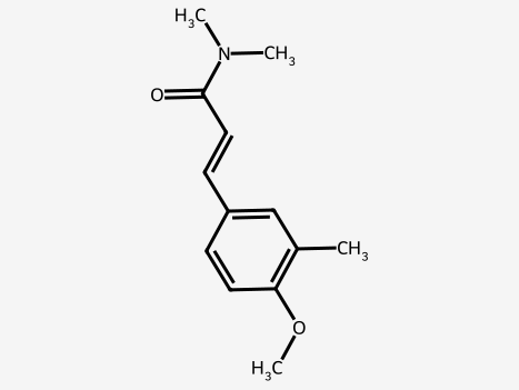 COc1ccc(C=CC(=O)N(C)C)cc1C